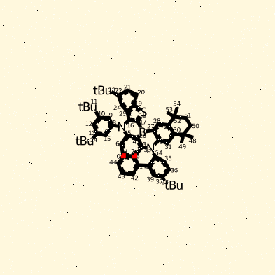 Cc1cc2c3c(c1)N(c1cc(C(C)(C)C)cc(C(C)(C)C)c1)c1c(sc4ccc(C(C)(C)C)cc14)B3c1cc3c(cc1N2c1ccc(C(C)(C)C)cc1-c1ccccc1)C(C)(C)CCC3(C)C